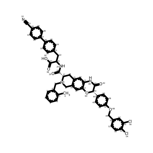 Cc1ccccc1CN1Cc2cc3c(cc2C[C@H]1C(=O)NC(Cc1ccc(-c2ccc(C#N)cc2)cc1)C(=O)O)NC(=O)[C@H](c1ccc(OCc2ccc(Cl)c(Cl)c2)cc1)O3